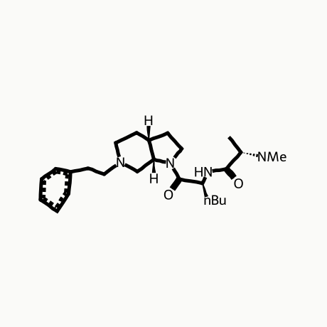 CCCC[C@H](NC(=O)[C@H](C)NC)C(=O)N1CC[C@H]2CCN(CCc3ccccc3)C[C@H]21